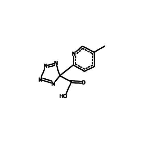 Cc1ccc(C2(C(=O)O)N=NN=N2)nc1